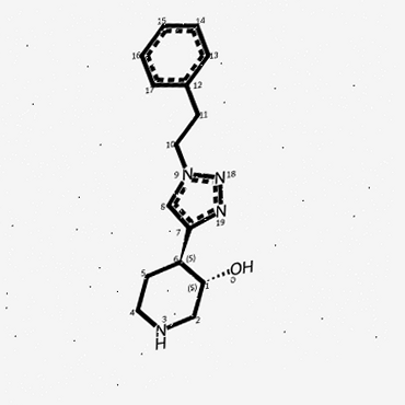 O[C@@H]1CNCC[C@H]1c1cn(CCc2ccccc2)nn1